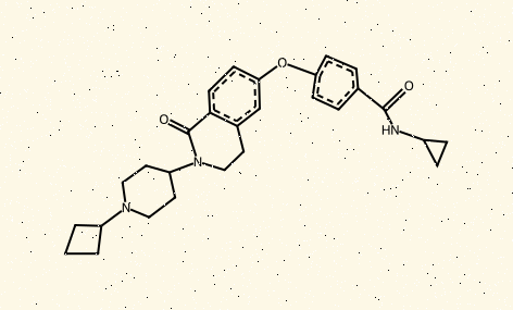 O=C(NC1CC1)c1ccc(Oc2ccc3c(c2)CCN(C2CCN(C4CCC4)CC2)C3=O)cc1